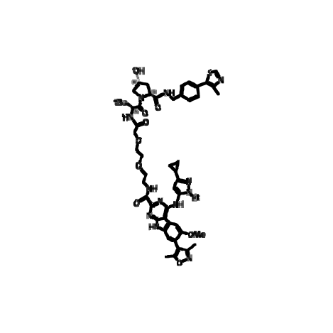 CCn1nc(C2CC2)cc1Nc1nc(C(=O)NCCOCCOCC(=O)N[C@H](C(=O)N2C[C@H](O)C[C@H]2C(=O)NCc2ccc(-c3scnc3C)cc2)C(C)(C)C)nc2[nH]c3cc(-c4c(C)noc4C)c(OC)cc3c12